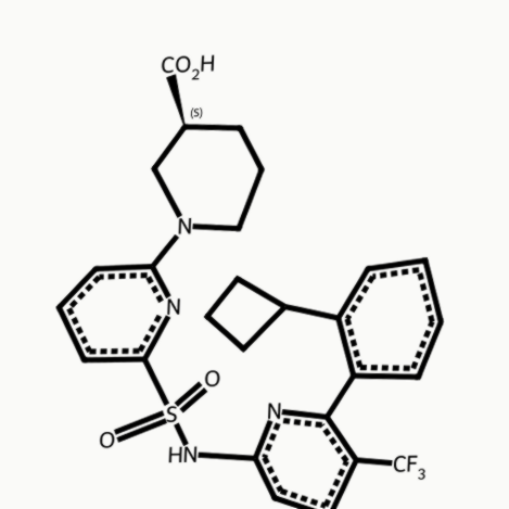 O=C(O)[C@H]1CCCN(c2cccc(S(=O)(=O)Nc3ccc(C(F)(F)F)c(-c4ccccc4C4CCC4)n3)n2)C1